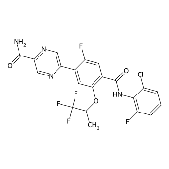 CC(Oc1cc(-c2cnc(C(N)=O)cn2)c(F)cc1C(=O)Nc1c(F)cccc1Cl)C(F)(F)F